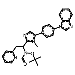 Cn1c(-c2ccc(-n3cnc4ccccc43)cc2)cnc1C(Cc1ccccn1)N(C=O)OC(C)(C)C